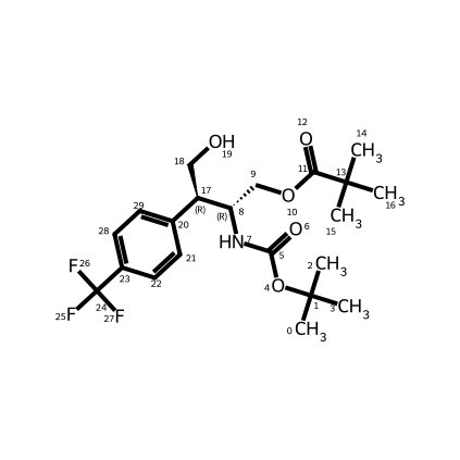 CC(C)(C)OC(=O)N[C@@H](COC(=O)C(C)(C)C)[C@H](CO)c1ccc(C(F)(F)F)cc1